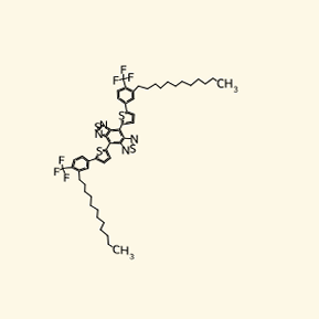 CCCCCCCCCCCCc1cc(-c2ccc(-c3c4c(c(-c5ccc(-c6ccc(C(F)(F)F)c(CCCCCCCCCCCC)c6)s5)c5nsnc35)N=S=N4)s2)ccc1C(F)(F)F